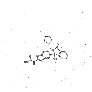 O=C(O)Nc1nc2cc(C3(O)c4ccccc4C(=O)N3CC3CCCC3)ccc2[nH]1